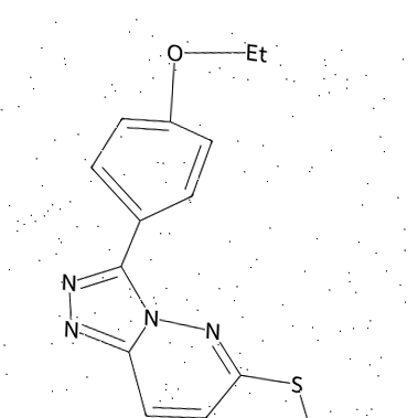 CCOc1ccc(-c2nnc3ccc(SCC)nn23)cc1